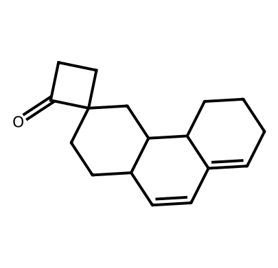 O=C1CCC12CCC1C=CC3=CCCCC3C1C2